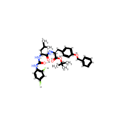 CC(C)C[C@H](NC(=O)Nc1ccc(F)cc1F)C(=O)N[C@@H](Cc1ccc(OCc2ccccc2)cc1)C(=O)OC(C)(C)C